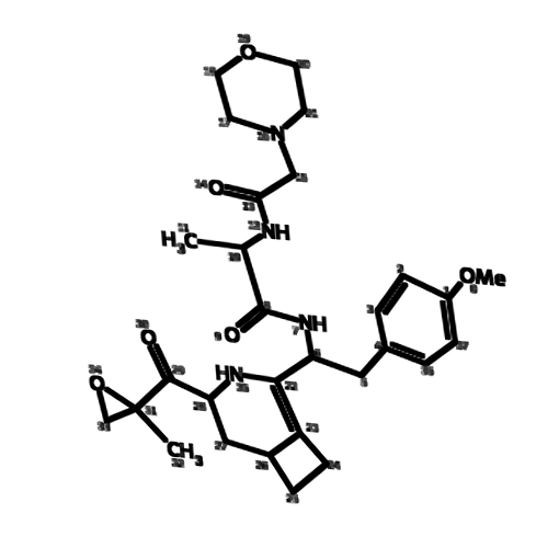 COc1ccc(CC(NC(=O)C(C)NC(=O)CN2CCOCC2)C2=C3CCC3CC(C(=O)C3(C)CO3)N2)cc1